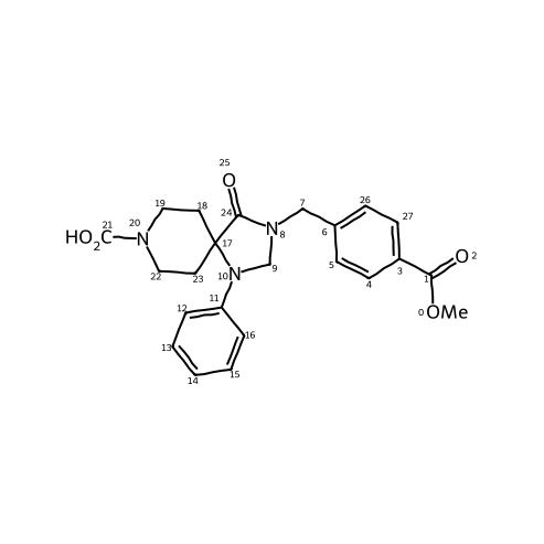 COC(=O)c1ccc(CN2CN(c3ccccc3)C3(CCN(C(=O)O)CC3)C2=O)cc1